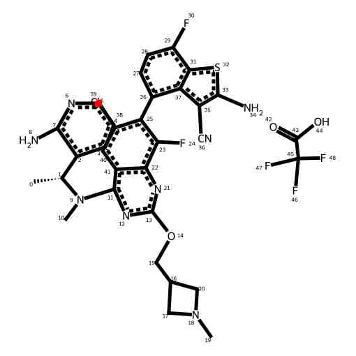 C[C@H](c1cccnc1N)N(C)c1nc(OCC2CN(C)C2)nc2c(F)c(-c3ccc(F)c4sc(N)c(C#N)c34)c(Cl)cc12.O=C(O)C(F)(F)F